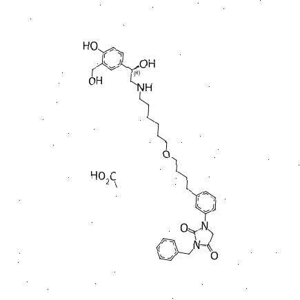 CC(=O)O.O=C1CN(c2cccc(CCCCOCCCCCCNC[C@H](O)c3ccc(O)c(CO)c3)c2)C(=O)N1Cc1ccccc1